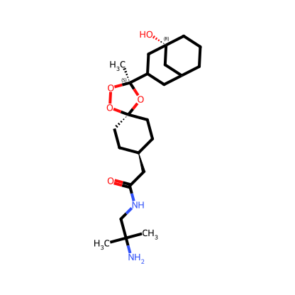 CC(C)(N)CNC(=O)C[C@H]1CC[C@]2(CC1)OO[C@@](C)(C1CC3CCC[C@@](O)(C3)C1)O2